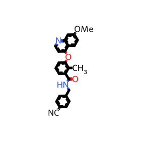 COc1ccc2c(Oc3cccc(C(=O)NCc4ccc(C#N)cc4)c3C)ccnc2c1